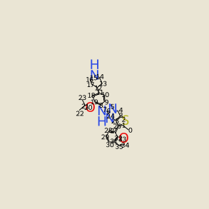 Cc1sc2cnc(Nc3ccc(C4CCNCC4)cc3OC(C)C)nc2c1-c1cccc2c1OCC2